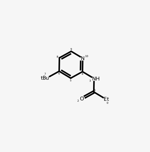 CCC(=O)Nc1cc(C(C)(C)C)ccn1